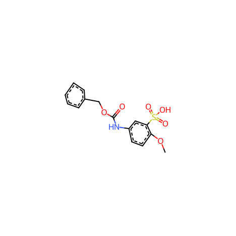 COc1ccc(NC(=O)OCc2ccccc2)cc1S(=O)(=O)O